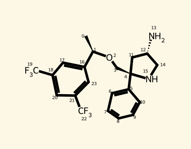 C[C@@H](OC[C@@]1(c2ccccc2)C[C@H](N)CN1)c1cc(C(F)(F)F)cc(C(F)(F)F)c1